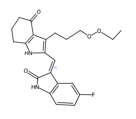 CCOOCCCc1c(/C=C2\C(=O)Nc3ccc(F)cc32)[nH]c2c1C(=O)CCC2